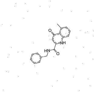 Cc1cccc2[nH]c(C(=O)NCc3ccccc3)cc(=O)c12